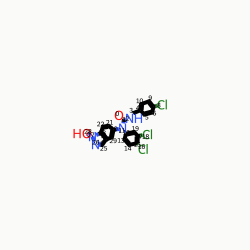 O=C(NCc1ccc(Cl)cc1)N(c1ccc(Cl)c(Cl)c1)c1ccc2c(cnn2O)c1